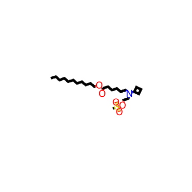 CCCCCCCCCCCOC(=O)CCCCCN(CCOS(C)(=O)=O)C1CCC1